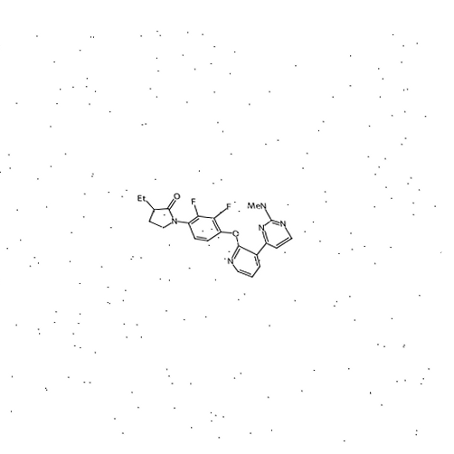 CCC1CCN(c2ccc(Oc3ncccc3-c3ccnc(NC)n3)c(F)c2F)C1=O